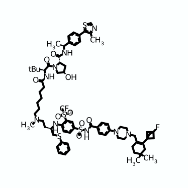 Cc1ncsc1-c1ccc([C@H](C)NC(=O)[C@@H]2C[C@@H](O)CN2C(=O)[C@@H](NC(=O)CCCCCCN(C)CC[C@H](CSc2ccccc2)Nc2ccc(S(=O)(=O)NC(=O)c3ccc(N4CCN(CC5=C(C67CC(F)(C6)C7)CC(C)(C)CC5)CC4)cc3)cc2S(=O)(=O)C(F)(F)F)C(C)(C)C)cc1